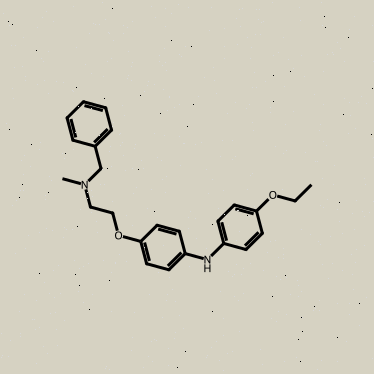 CCOc1ccc(Nc2ccc(OCCN(C)Cc3ccccc3)cc2)cc1